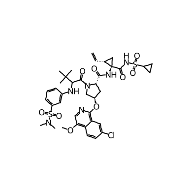 C=C[C@@H]1C[C@]1(NC(=O)[C@@H]1C[C@@H](Oc2ncc(OC)c3ccc(Cl)cc23)CN1C(=O)C(Nc1cccc(S(=O)(=O)N(C)C)c1)C(C)(C)C)C(=O)NS(=O)(=O)C1CC1